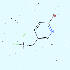 FC(F)(F)Cc1ccc(Br)nc1